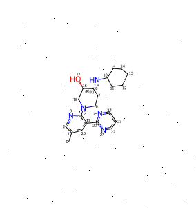 Cc1cnc(N2CC[C@@H](NC3CCCCC3)[C@H](O)C2)c(-c2ncccn2)c1